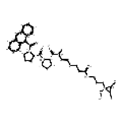 CCO[Si]1(CCCNC(=O)CCCCCN(C)C(=O)[C@@H]2CCCN2C(=O)[C@@H]2CCCN2C(=O)c2c3ccccc3cc3ccccc23)C(C)C1C